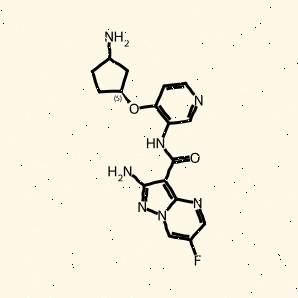 Nc1nn2cc(F)cnc2c1C(=O)Nc1cnccc1O[C@H]1CCC(N)C1